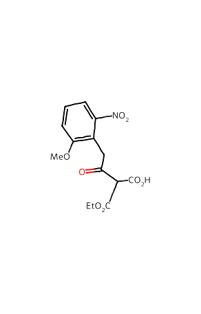 CCOC(=O)C(C(=O)O)C(=O)Cc1c(OC)cccc1[N+](=O)[O-]